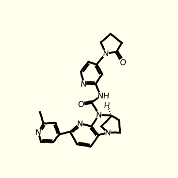 Cc1cc(-c2ccc3c(n2)N(C(=O)Nc2cc(N4CCCC4=O)ccn2)[C@H]2CCN3C2)ccn1